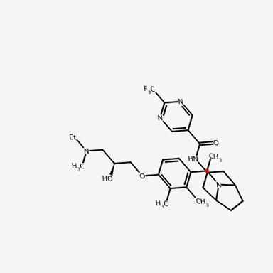 CCN(C)C[C@H](O)COc1ccc(C(C)N2C3CCC2CC(NC(=O)c2cnc(C(F)(F)F)nc2)C3)c(C)c1C